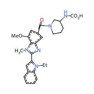 CCn1c(-c2nc3cc(C(=O)N4CCCC(NC(=O)O)C4)cc(OC)c3n2C)cc2ccccc21